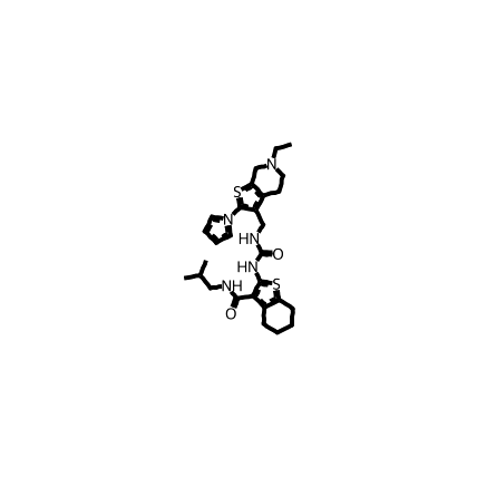 CCN1CCc2c(sc(-n3cccc3)c2CNC(=O)Nc2sc3c(c2C(=O)NCC(C)C)CCCC3)C1